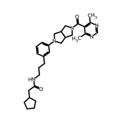 Cc1ncnc(C)c1C(=O)N1CC2CN(c3cccc(CCCNC(=O)CC4CCCC4)c3)CC2C1